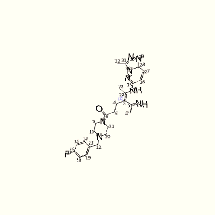 CC(=N)/C(CCC(=O)N1CCN(Cc2ccc(F)cc2)CC1)=C(/C)Nc1ccc2nnc(C)n2n1